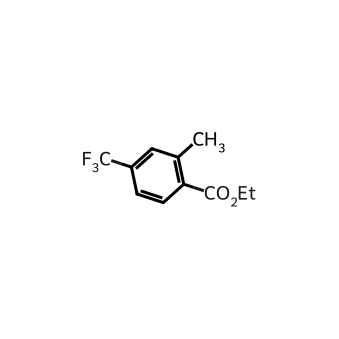 CCOC(=O)c1ccc(C(F)(F)F)cc1C